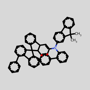 CC1(C)c2ccccc2-c2ccc(N(C3=CC4c5ccccc5C5(c6ccccc6-c6c(-c7ccccc7)cccc65)C4C=C3)c3ccccc3-c3ccccc3)cc21